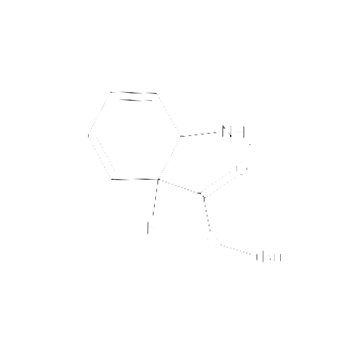 CC(C)(C)OC(=O)C1(F)C=CC=CC1N